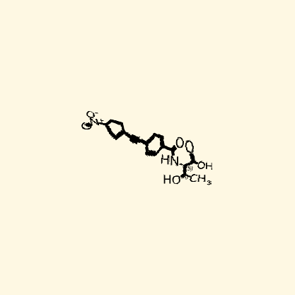 C[C@@H](O)[C@H](NC(=O)c1ccc(C#Cc2ccc([N+](=O)[O-])cc2)cc1)C(=O)O